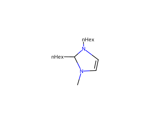 CCCCCCC1N(C)C=CN1CCCCCC